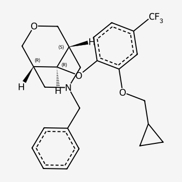 FC(F)(F)c1ccc(O[C@@H]2[C@@H]3COC[C@H]2CN(Cc2ccccc2)C3)c(OCC2CC2)c1